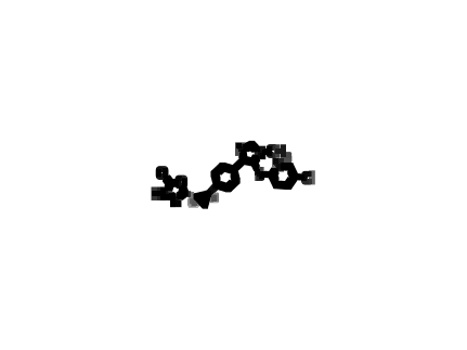 Cn1cnc(-c2ccc([C@H]3C[C@@H]3c3n[nH]c(=O)o3)cc2)c1Sc1ccc(Cl)cn1